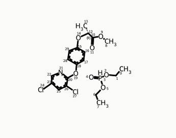 CCO[PH](=O)OCC.COC(=O)[C@@H](C)Oc1ccc(Oc2ncc(Cl)cc2Cl)cc1